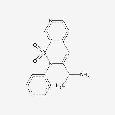 CC(N)C1=Cc2ccncc2S(=O)(=O)N1c1ccccc1